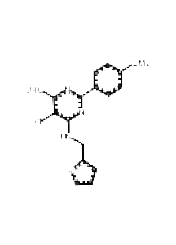 COc1ccc(-c2nc(C=O)c(Cl)c(NCc3ccco3)n2)cc1